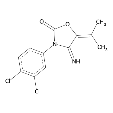 CC(C)=C1OC(=O)N(c2ccc(Cl)c(Cl)c2)C1=N